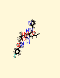 CCCC[C@H](NC(=O)O[C@H](Cc1nnc(-c2ccc(F)cc2)o1)C(C)(C)C)[C@H](O)C(=O)NCc1cccnc1